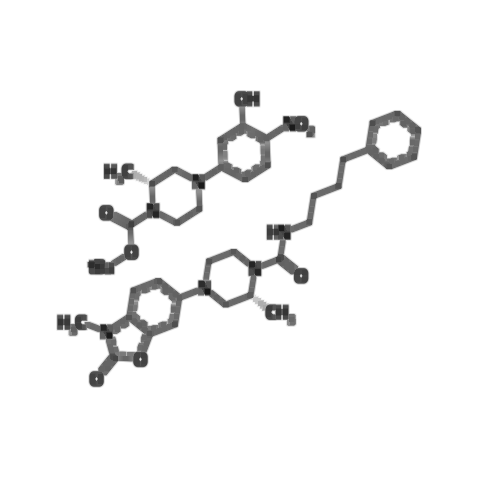 C[C@@H]1CN(c2ccc([N+](=O)[O-])c(O)c2)CCN1C(=O)OC(C)(C)C.C[C@@H]1CN(c2ccc3c(c2)oc(=O)n3C)CCN1C(=O)NCCCCc1ccccc1